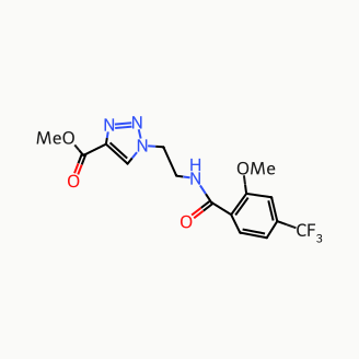 COC(=O)c1cn(CCNC(=O)c2ccc(C(F)(F)F)cc2OC)nn1